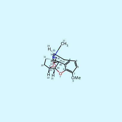 COc1ccc2c3c1O[C@@H]1[C@@H]4CC[C@]5(O4)[C@H](C2)N(C)CC[C@@]315